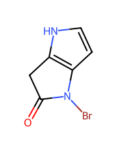 O=C1Cc2[nH]ccc2N1Br